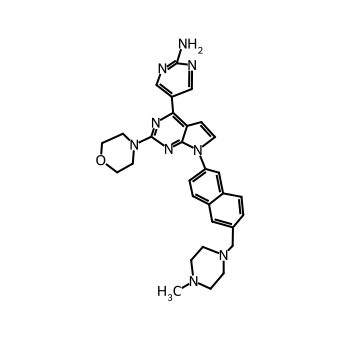 CN1CCN(Cc2ccc3cc(-n4ccc5c(-c6cnc(N)nc6)nc(N6CCOCC6)nc54)ccc3c2)CC1